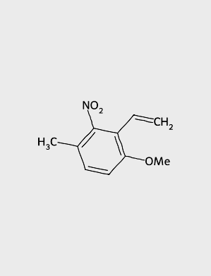 C=Cc1c(OC)ccc(C)c1[N+](=O)[O-]